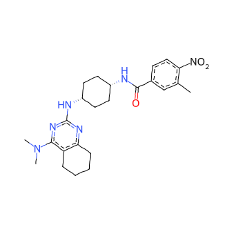 Cc1cc(C(=O)N[C@H]2CC[C@@H](Nc3nc4c(c(N(C)C)n3)CCCC4)CC2)ccc1[N+](=O)[O-]